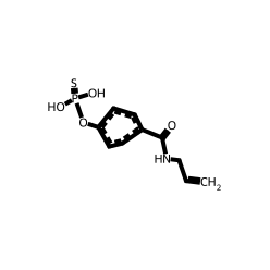 C=CCNC(=O)c1ccc(OP(O)(O)=S)cc1